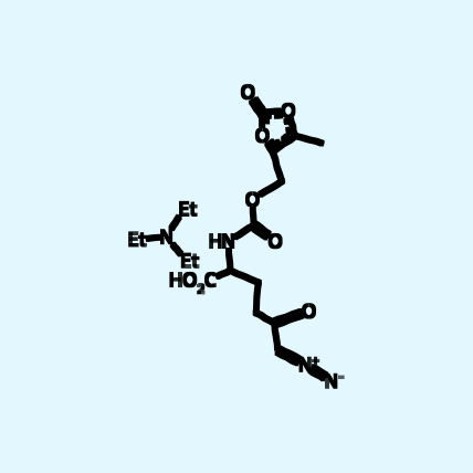 CCN(CC)CC.Cc1oc(=O)oc1COC(=O)NC(CCC(=O)C=[N+]=[N-])C(=O)O